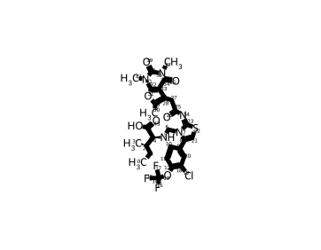 CC[C@H](C)[C@H](NCn1c(-c2ccc(OC(F)(F)F)c(Cl)c2)csc1=NC(=O)Cc1c(C)oc2c1c(=O)n(C)c(=O)n2C)C(=O)O